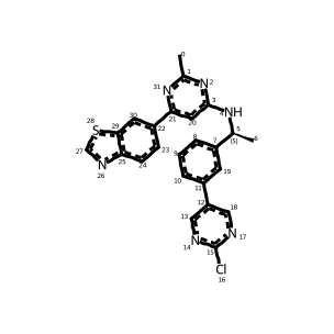 Cc1nc(N[C@@H](C)c2cccc(-c3cnc(Cl)nc3)c2)cc(-c2ccc3ncsc3c2)n1